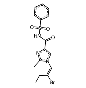 CC/C(Br)=C\n1cc(C(=O)NS(=O)(=O)c2ccccc2)nc1C